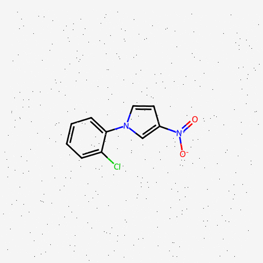 O=[N+]([O-])c1ccn(-c2ccccc2Cl)c1